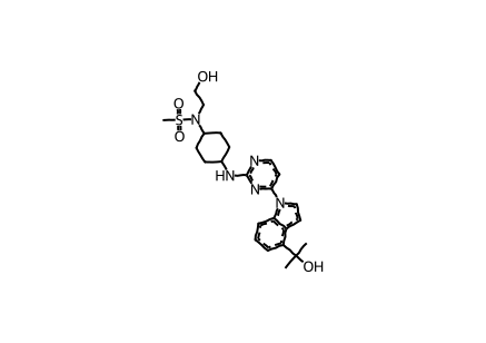 CC(C)(O)c1cccc2c1ccn2-c1ccnc(NC2CCC(N(CCO)S(C)(=O)=O)CC2)n1